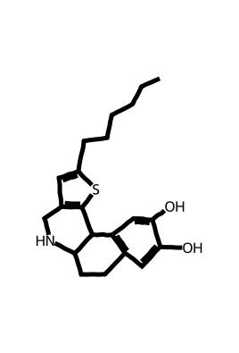 CCCCCCc1cc2c(s1)C1c3cc(O)c(O)cc3CCC1NC2